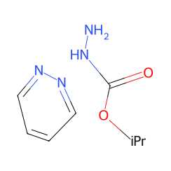 CC(C)OC(=O)NN.c1ccnnc1